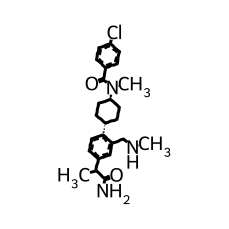 CNCc1cc(C(C)C(N)=O)ccc1[C@H]1CC[C@H](N(C)C(=O)c2ccc(Cl)cc2)CC1